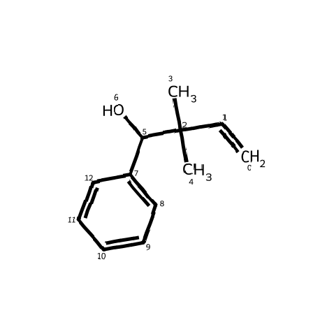 C=CC(C)(C)C(O)c1ccccc1